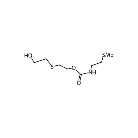 CSCCNC(=O)OCCSCCO